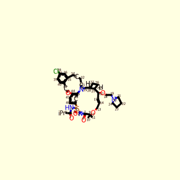 CC(C)C(=O)NS1(=O)=NC(=O)C(C)(C)OC/C=C/[C@H](OCCN2CCCC2)[C@@H]2CC[C@H]2CN2CCCCc3cc(Cl)ccc3COc3ccc1cc32